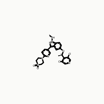 C[C@@H](Oc1ccc2c(c1)c(-c1ccc(N3CCS(=O)(=O)CC3)nc1)nn2PI)c1c(Cl)cncc1Cl